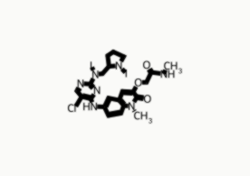 CNC(=O)COc1cc2cc(Nc3nc(N(I)CC4CCCN4I)ncc3Cl)ccc2n(C)c1=O